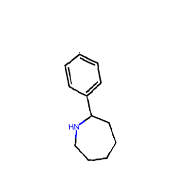 [c]1ccc(C2CCCCCN2)cc1